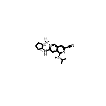 CC(C)Nc1nc(C#N)cc2cnc(N[C@H]3CCC[C@@H]3N)cc12